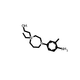 CC[N+]1(CCO)CCCN(c2ccc(N)c(C)c2)CC1